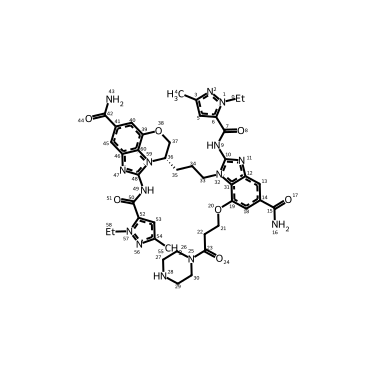 CCn1nc(C)cc1C(=O)Nc1nc2cc(C(N)=O)cc(OCCC(=O)N3CCNCC3)c2n1CCC[C@H]1COc2cc(C(N)=O)cc3nc(NC(=O)c4cc(C)nn4CC)n1c23